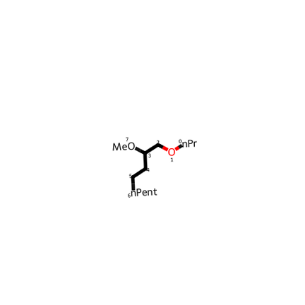 C[CH]COCC(CCCCCCC)OC